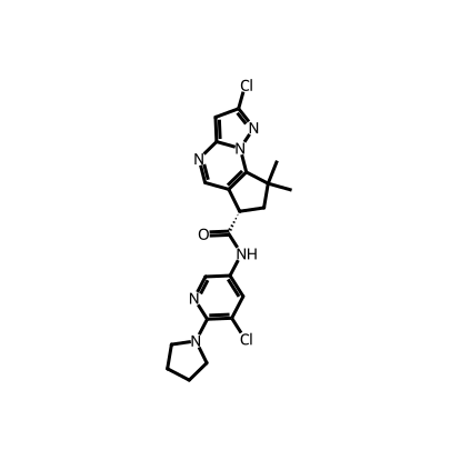 CC1(C)C[C@H](C(=O)Nc2cnc(N3CCCC3)c(Cl)c2)c2cnc3cc(Cl)nn3c21